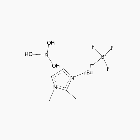 CCCC[n+]1ccn(C)c1C.F[B-](F)(F)F.OB(O)O